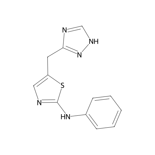 c1ccc(Nc2ncc(Cc3nc[nH]n3)s2)cc1